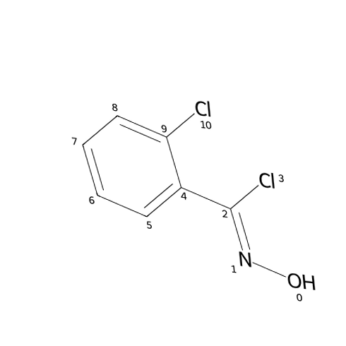 ON=C(Cl)c1ccccc1Cl